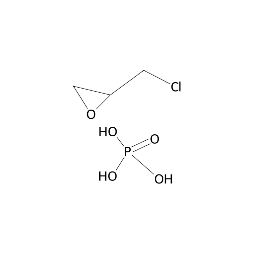 ClCC1CO1.O=P(O)(O)O